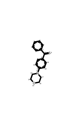 S=C(c1ccccc1)c1ccc(N2CCOCC2)cc1